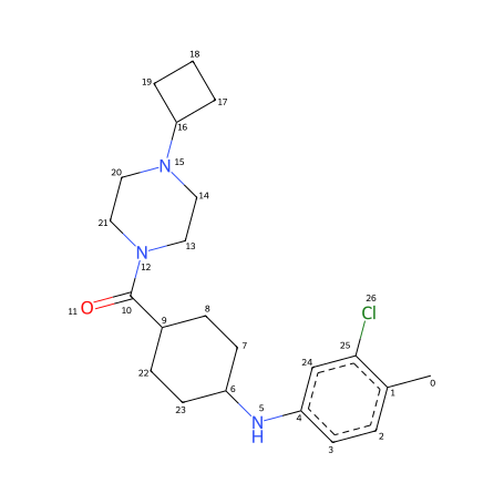 Cc1ccc(NC2CCC(C(=O)N3CCN(C4CCC4)CC3)CC2)cc1Cl